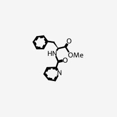 COC(=O)[C@H](Cc1ccccc1)NC(=O)c1ccccn1